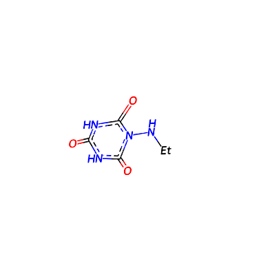 CCNn1c(=O)[nH]c(=O)[nH]c1=O